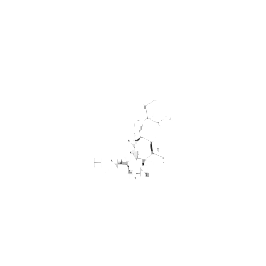 CCC(CC)Oc1cc(C)c2nnc(N)n2n1